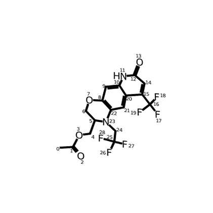 CC(=O)OCC1COc2cc3[nH]c(=O)cc(C(F)(F)F)c3cc2N1CC(F)(F)F